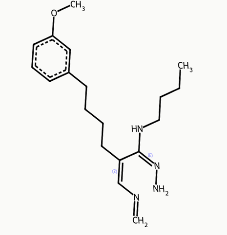 C=N/C=C(CCCCc1cccc(OC)c1)\C(=N/N)NCCCC